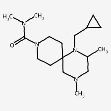 CC1CN(C)CC2(CCN(C(=O)N(C)C)CC2)N1CC1CC1